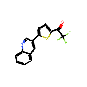 O=C(c1ccc(-c2cnc3ccccc3c2)s1)C(F)(F)F